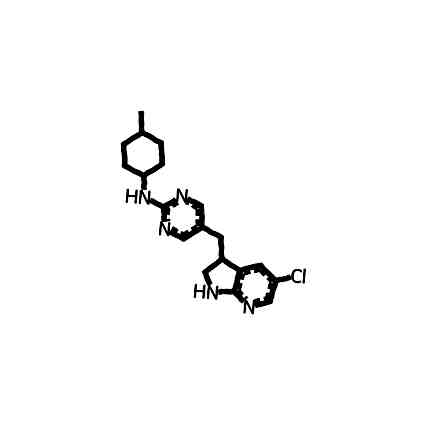 CC1CCC(Nc2ncc(CC3CNc4ncc(Cl)cc43)cn2)CC1